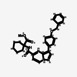 COC(=O)C1(NC(=O)c2ccn3ncc(-c4ccc(OCc5ccccc5)cc4)c3n2)CCCCC1